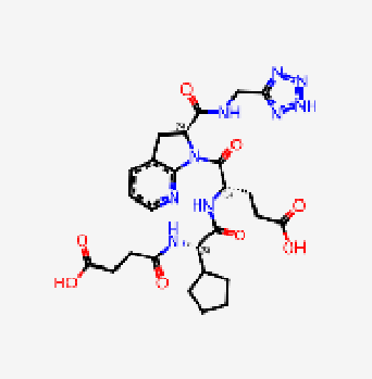 O=C(O)CCC(=O)N[C@H](C(=O)N[C@@H](CCC(=O)O)C(=O)N1c2ncccc2C[C@H]1C(=O)NCc1nn[nH]n1)C1CCCC1